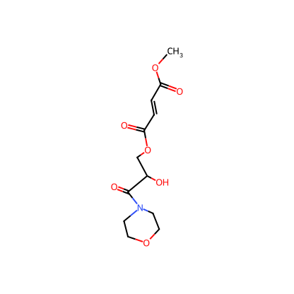 COC(=O)/C=C/C(=O)OCC(O)C(=O)N1CCOCC1